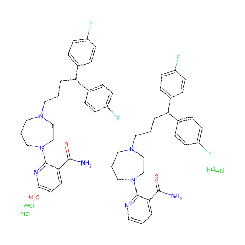 Cl.Cl.Cl.Cl.NC(=O)c1cccnc1N1CCCN(CCCC(c2ccc(F)cc2)c2ccc(F)cc2)CC1.NC(=O)c1cccnc1N1CCCN(CCCC(c2ccc(F)cc2)c2ccc(F)cc2)CC1.O